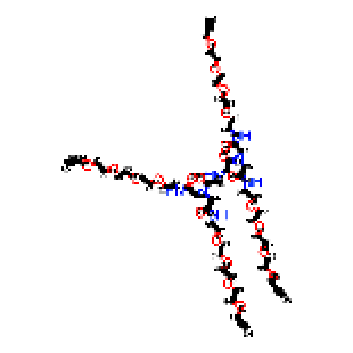 C#CCOCCOCCOCCOCCNC(=O)CN(CC(=O)NCCOCCOCCOCCOCC#C)C(=O)CNCC(=O)N(CC(=O)NCCOCCOCCOCCOCC#C)CC(=O)NCCOCCOCCOCCOCC#C